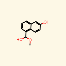 COC(O)c1cccc2cc(O)ccc12